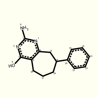 Nc1nc(O)c2c(n1)CC(c1ccccc1)CCC2